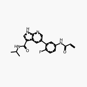 C=CC(=O)Nc1ccc(F)c(-c2cnc3[nH]cc(C(=O)NC(C)C)c3c2)c1